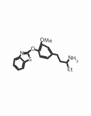 CCC(N)CCc1ccc(Oc2nc3ccccc3s2)c(OC)c1